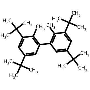 Cc1c(-c2[c]c(C(C)(C)C)cc(C(C)(C)C)c2C)[c]c(C(C)(C)C)cc1C(C)(C)C